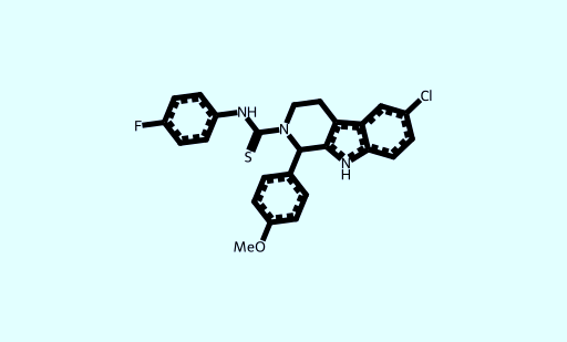 COc1ccc(C2c3[nH]c4ccc(Cl)cc4c3CCN2C(=S)Nc2ccc(F)cc2)cc1